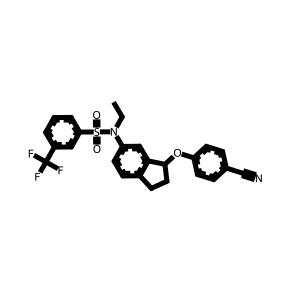 CCN(c1ccc2c(c1)C(Oc1ccc(C#N)cc1)CC2)S(=O)(=O)c1cccc(C(F)(F)F)c1